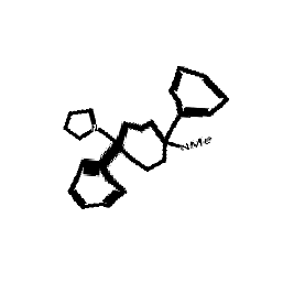 CNC1(c2ccccc2)CCC(c2ccccc2)(N2CCCC2)CC1